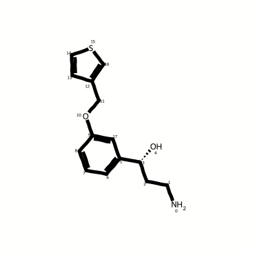 NCC[C@@H](O)c1cccc(OCc2ccsc2)c1